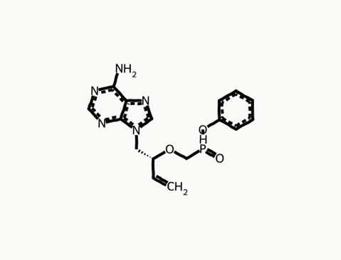 C=C[C@H](Cn1cnc2c(N)ncnc21)OC[PH](=O)Oc1ccccc1